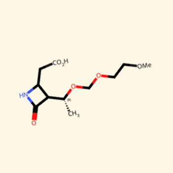 COCCOCO[C@H](C)C1C(=O)NC1CC(=O)O